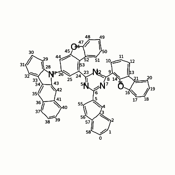 c1ccc2cc(-c3nc(-c4cccc5c4oc4ccccc45)nc(-c4cc(-n5c6ccccc6c6cc7ccccc7cc65)cc5oc6ccccc6c45)n3)ccc2c1